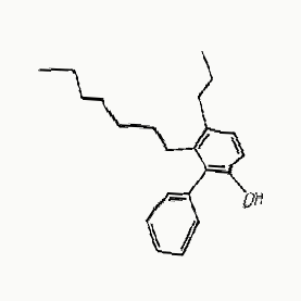 CCCCCCCc1c(CCC)ccc(O)c1-c1ccccc1